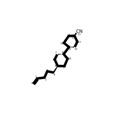 C=CCCC[C@H]1CC[C@H]([C@H]2CC[C@H](C#N)CC2)CC1